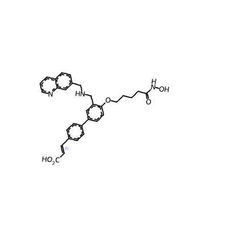 O=C(O)/C=C/c1ccc(-c2ccc(OCCCCC(=O)NO)c(CNCc3ccc4cccnc4c3)c2)cc1